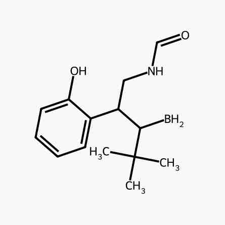 BC(C(CNC=O)c1ccccc1O)C(C)(C)C